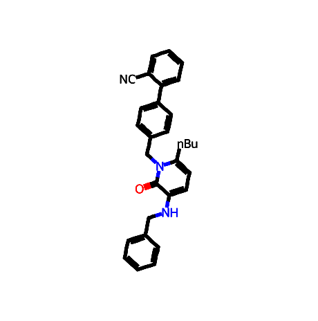 CCCCc1ccc(NCc2ccccc2)c(=O)n1Cc1ccc(-c2ccccc2C#N)cc1